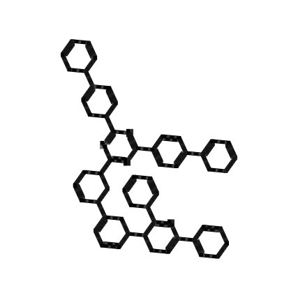 C1=CCCC(c2ccc(-c3nc(C4C=CC(C5C=CC=CC5)=CC4)nc(C4CC=CC(C5=CC=CC(C6CC=C(C7=CCCC=C7)N=C6C6C=CC=CC6)C5)C4)n3)cc2)=C1